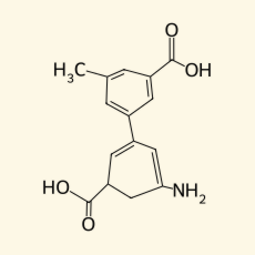 Cc1cc(C(=O)O)cc(C2=CC(C(=O)O)CC(N)=C2)c1